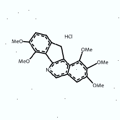 COc1ccc2c(c1OC)-c1ncc3cc(OC)c(OC)c(OC)c3c1C2.Cl